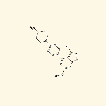 CCOc1cc(-c2ccc(N3CCC(N)CC3)nc2)c2c(C#N)cnn2c1